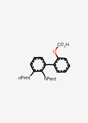 CCCCCc1cccc(-c2ccccc2OC(=O)O)c1CCCCC